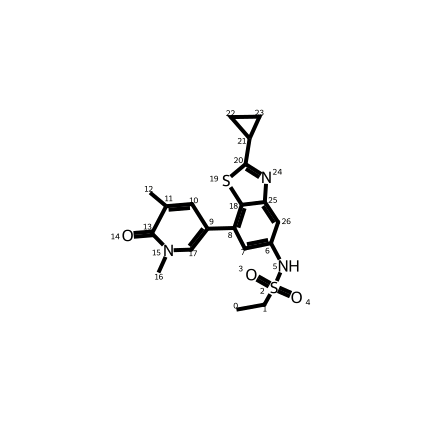 CCS(=O)(=O)Nc1cc(-c2cc(C)c(=O)n(C)c2)c2sc(C3CC3)nc2c1